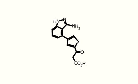 Nc1n[nH]c2cccc(-c3csc(C(=O)CC(=O)O)c3)c12